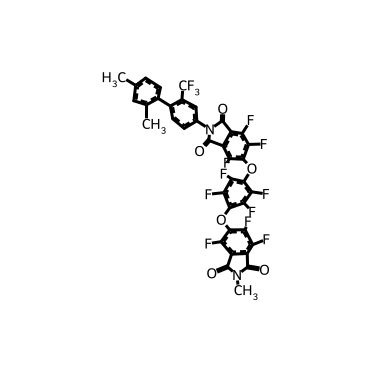 Cc1ccc(-c2ccc(N3C(=O)c4c(F)c(F)c(Oc5c(F)c(F)c(Oc6c(F)c(F)c7c(c6F)C(=O)N(C)C7=O)c(F)c5F)c(F)c4C3=O)cc2C(F)(F)F)c(C)c1